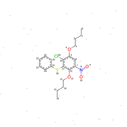 CCCCOc1cc([N+](=O)[O-])c(OCCCC)c(Sc2ccccc2)c1Cl